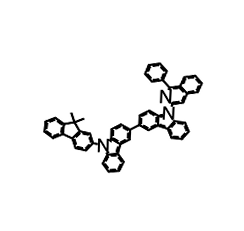 CC1(C)c2ccccc2-c2ccc(-n3c4ccccc4c4cc(-c5ccc6c(c5)c5ccccc5n6-c5cc6ccccc6c(-c6ccccc6)n5)ccc43)cc21